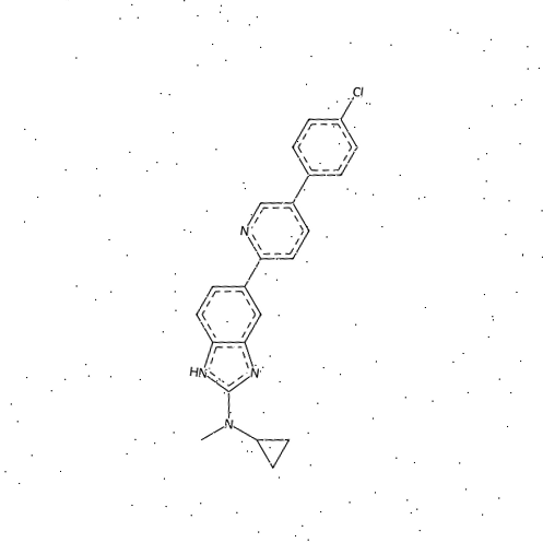 CN(c1nc2cc(-c3ccc(-c4ccc(Cl)cc4)cn3)ccc2[nH]1)C1CC1